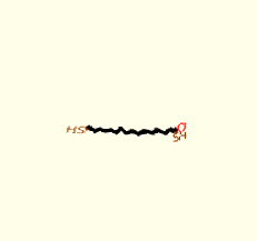 O=C(S)CCCCCCCCCCCCCCCS